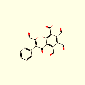 O=Cc1oc2c(C(=O)O)c(C=O)c(C=O)c(C=O)c2c(=O)c1-c1ccccc1